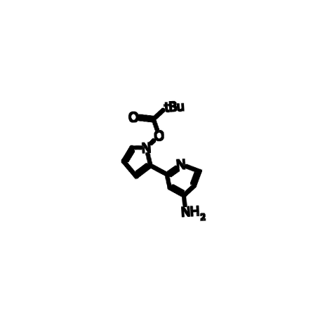 CC(C)(C)C(=O)On1cccc1-c1cc(N)ccn1